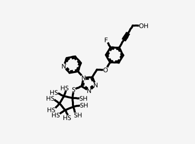 OCC#Cc1ccc(OCc2nnc(SC3(S)C(S)(S)C(S)(S)C(S)(S)C3(S)S)n2-c2cccnc2)cc1F